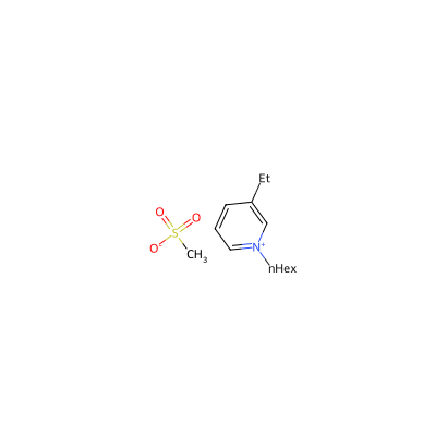 CCCCCC[n+]1cccc(CC)c1.CS(=O)(=O)[O-]